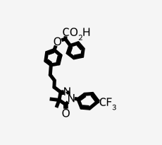 CC1(C)C(=O)N(c2ccc(C(F)(F)F)cc2)N=C1CCCc1ccc(OC(C(=O)O)c2ccccc2)cc1